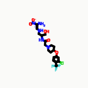 N/C(=C\NCC(CO)NC(=O)CN1CCC(Oc2ccc(C(F)(F)F)c(Cl)c2)CC1)[N+](=O)[O-]